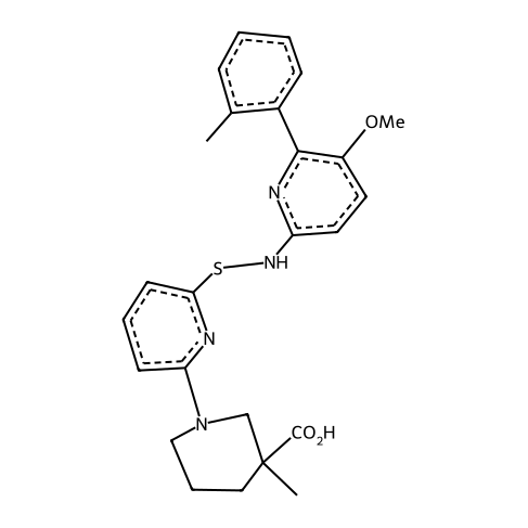 COc1ccc(NSc2cccc(N3CCCC(C)(C(=O)O)C3)n2)nc1-c1ccccc1C